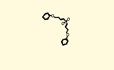 O=S(=O)(C=CCCOc1ccccc1)C=CCCOc1ccccc1